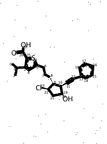 CC(C)c1cc(CCC[C@@H]2[C@@H](C#Cc3ccccc3)[C@H](O)C[C@H]2Cl)sc1C(=O)O